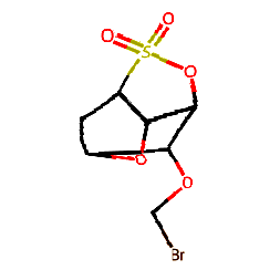 O=S1(=O)OC2C(OCBr)C3CC1C2O3